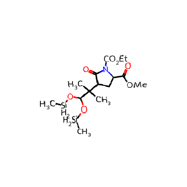 CCOC(=O)N1C(=O)C(C(C)(C)C(O[SiH2]C)O[SiH2]C)CC1C(=O)OC